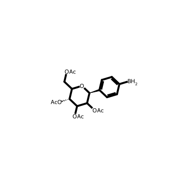 Bc1ccc([C@@H]2OC(COC(C)=O)[C@@H](OC(C)=O)C(OC(C)=O)C2OC(C)=O)cc1